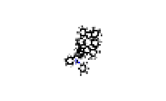 c1ccc(-n2c3ccccc3c3cc(-c4cccc5c4C4(c6ccccc6-c6ccccc64)c4ccccc4C54c5ccccc5-c5ccccc54)ccc32)cc1